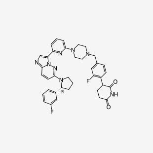 O=C1CCC(c2ccc(CN3CCN(c4cccc(-c5cnc6ccc(N7CCC[C@@H]7c7cccc(F)c7)nn56)n4)CC3)cc2F)C(=O)N1